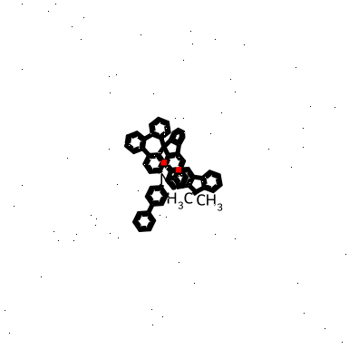 CC1(C)c2ccccc2-c2ccc(N(c3ccc(-c4ccccc4)cc3)c3ccc4c(c3)C3(c5ccccc5-c5ccccc5-4)c4ccccc4-c4cc5ccccc5cc43)cc21